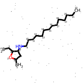 BCC1OC(B)CC1NCCCCCCCCCCCCCC